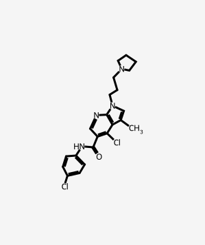 Cc1cn(CCCN2CCCC2)c2ncc(C(=O)Nc3ccc(Cl)cc3)c(Cl)c12